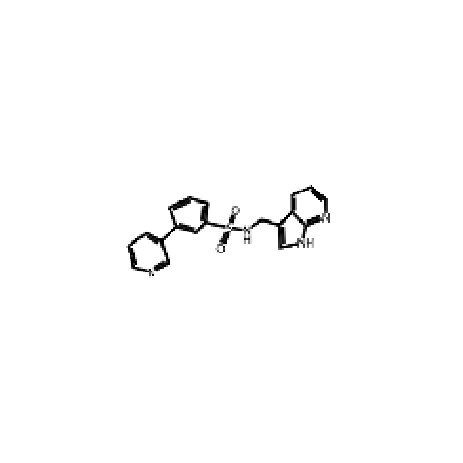 O=S(=O)(NCc1c[nH]c2ncccc12)c1cccc(-c2cccnc2)c1